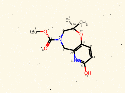 CC[C@@]1(C)CN(C(=O)OC(C)(C)C)Cc2nc(O)ccc2O1